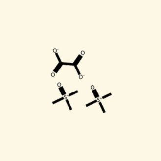 C[S+](C)(C)=O.C[S+](C)(C)=O.O=C([O-])C(=O)[O-]